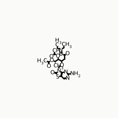 CCN(CC)OC(=O)CC(OCn1c(=O)sc2cnc(N)nc21)C(OC(C)=O)[C@H](C)OC(C)=O